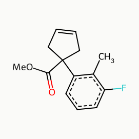 COC(=O)C1(c2cccc(F)c2C)CC=CC1